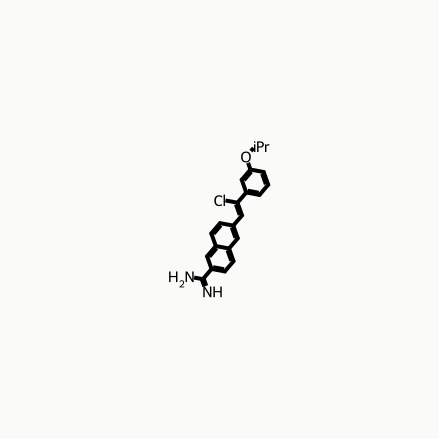 CC(C)Oc1cccc(/C(Cl)=C/c2ccc3cc(C(=N)N)ccc3c2)c1